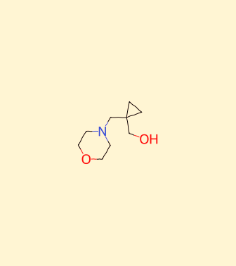 OCC1(CN2CCOCC2)CC1